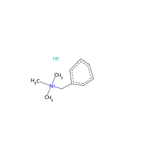 C[N+](C)(C)Cc1ccccc1.F